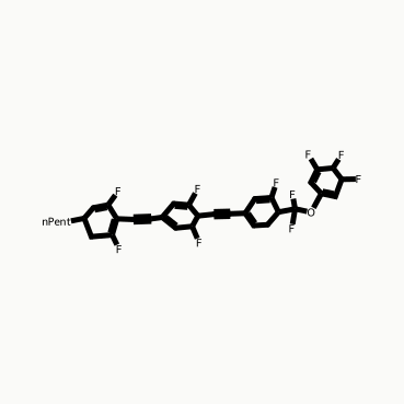 CCCCCC1C=C(F)C(C#CC2=CC(F)C(C#CC3=CCC(C(F)(F)OC4=CC(F)C(F)C(F)=C4)C(F)=C3)C(F)=C2)=C(F)C1